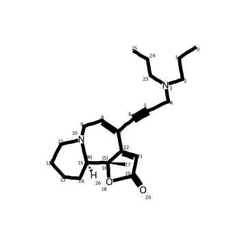 CCCN(CC#CC1=CCN2CCCC[C@@H]2[C@@]2(C)OC(=O)C=C12)CCC